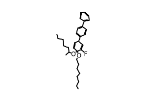 CCCCCCCCOC1(OC(C)CCCCC)C=CC(c2ccc(-c3ccccc3)cc2)C=C1F